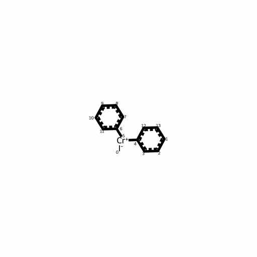 [I-].c1cc[c]([Cr+][c]2ccccc2)cc1